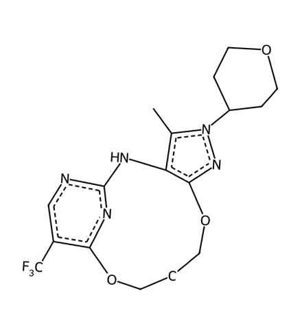 Cc1c2c(nn1C1CCOCC1)OCCCOc1nc(ncc1C(F)(F)F)N2